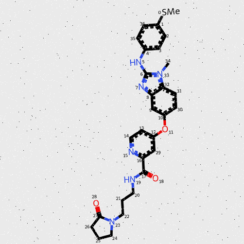 CSc1ccc(Nc2nc3cc(Oc4ccnc(C(=O)NCCCN5CCCC5=O)c4)ccc3n2C)cc1